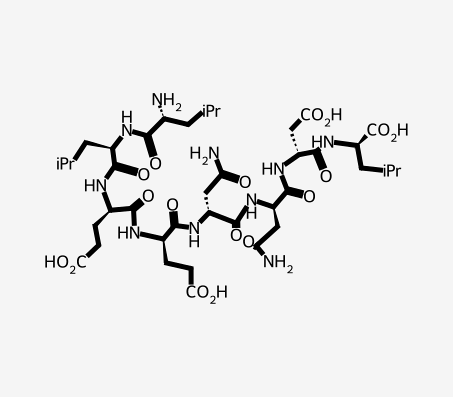 CC(C)C[C@@H](N)C(=O)N[C@H](CC(C)C)C(=O)N[C@H](CCC(=O)O)C(=O)N[C@H](CCC(=O)O)C(=O)N[C@H](CC(N)=O)C(=O)N[C@H](CC(N)=O)C(=O)N[C@H](CC(=O)O)C(=O)N[C@H](CC(C)C)C(=O)O